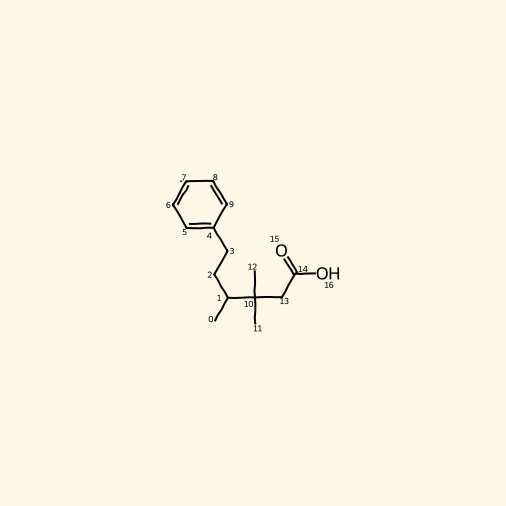 CC(CCc1cc[c]cc1)C(C)(C)CC(=O)O